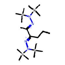 CCCC(=N\N([Si](C)(C)C)[Si](C)(C)C)/C(C)=N/N([Si](C)(C)C)[Si](C)(C)C